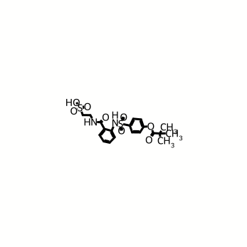 CC(C)(C)C(=O)Oc1ccc(S(=O)(=O)Nc2ccccc2C(=O)NCCS(=O)(=O)O)cc1